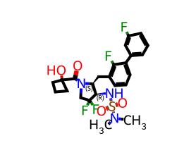 CN(C)S(=O)(=O)N[C@@H]1[C@H](Cc2cccc(-c3cccc(F)c3)c2F)N(C(=O)C2(O)CCC2)CC1(F)F